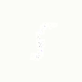 O=C(O)COCCOCCOc1ccc(CN2C(=O)C(=C/C=C/c3ccc([N+](=O)[O-])cc3)c3ccccc32)cc1